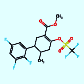 COC(=O)C1=C(OS(=O)(=O)C(F)(F)F)CC(C)C(c2cc(F)cc(F)c2F)C1